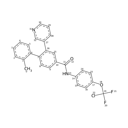 Cc1ccccc1-c1ccc(C(=O)Nc2ccc(OC(F)(F)Cl)cc2)cc1-c1cccnc1